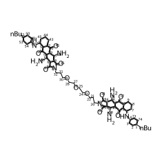 CCCCc1ccc(Nc2cccc3c(=O)c4c(N)c5c(=O)n(CCCOCCOCCOCCCn6c(=O)c7c(N)c8c(=O)c9cccc(Nc%10ccc(CCCC)cc%10)c9c(=O)c8c(N)c7c6=O)c(=O)c5c(N)c4c(=O)c23)cc1